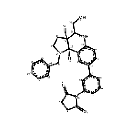 O=C1CCC(=O)N1c1cccc(-c2ccc3c(c2)[C@H]2[C@H](CCN2Cc2ccncc2)[C@@H](CO)N3)c1